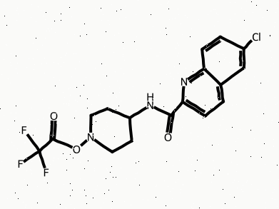 O=C(NC1CCN(OC(=O)C(F)(F)F)CC1)c1ccc2cc(Cl)ccc2n1